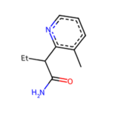 CCC(C(N)=O)c1ncccc1C